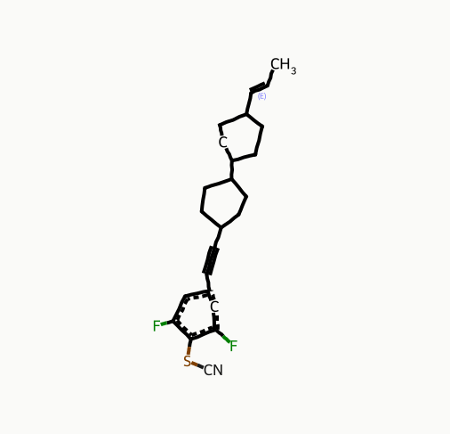 C/C=C/C1CCC(C2CCC(C#Cc3cc(F)c(SC#N)c(F)c3)CC2)CC1